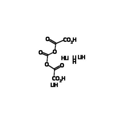 O=C(OC(=O)C(=O)O)OC(=O)C(=O)O.[LiH].[LiH].[LiH].[LiH]